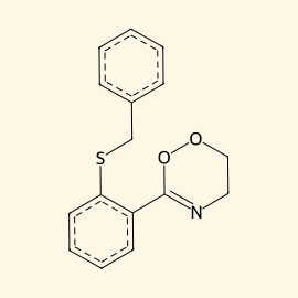 c1ccc(CSc2ccccc2C2=NCCOO2)cc1